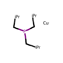 CC(C)CP(CC(C)C)CC(C)C.[Cu]